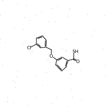 O=C(S)c1cccc(OCc2cccc(Cl)c2)c1